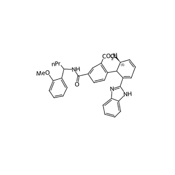 CCCC(NC(=O)c1ccc(C2C(c3nc4ccccc4[nH]3)=CC=C[C@@H]2Cl)c(C(=O)O)c1)c1ccccc1OC